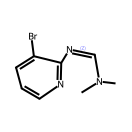 CN(C)/C=N\c1ncccc1Br